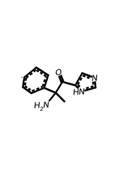 CC(N)(C(=O)c1cnc[nH]1)c1cc[c]cc1